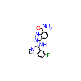 NC(=O)c1cccc2c(N[C@H](CN3CCC3)c3cccc(F)c3)ncnc12